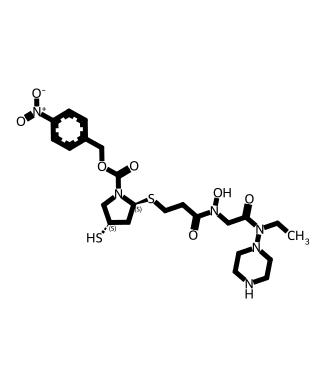 CCN(C(=O)CN(O)C(=O)CCS[C@H]1C[C@H](S)CN1C(=O)OCc1ccc([N+](=O)[O-])cc1)N1CCNCC1